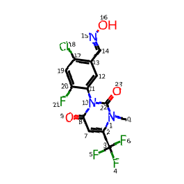 Cn1c(C(F)(F)F)cc(=O)n(-c2cc(/C=N/O)c(Cl)cc2F)c1=O